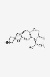 CC(=O)C(C)N1C(=O)COc2ccc(OC3(C)CNC3)cc21